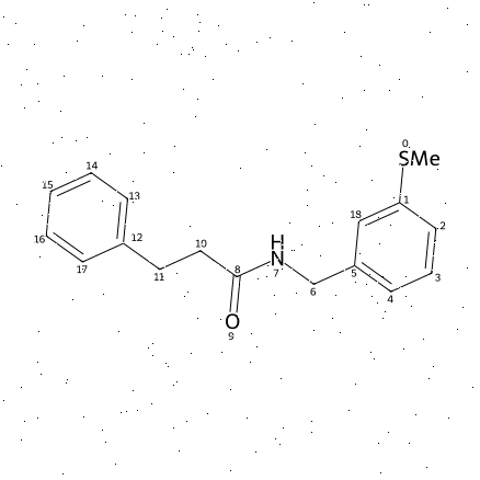 CSc1cccc(CNC(=O)CCc2ccccc2)c1